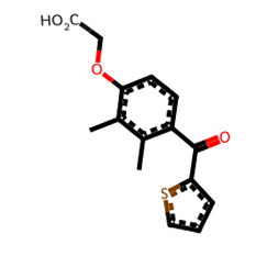 Cc1c(OCC(=O)O)ccc(C(=O)c2cccs2)c1C